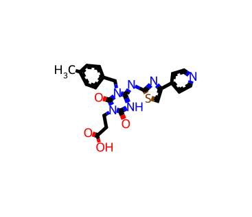 Cc1ccc(Cn2c(=O)n(CCC(=O)O)c(=O)[nH]/c2=N\c2nc(-c3ccncc3)cs2)cc1